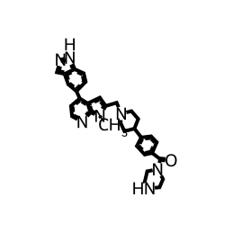 Cn1c(CN2CCC(c3ccc(C(=O)N4CCNCC4)cc3)CC2)cc2c(-c3ccc4[nH]ncc4c3)ccnc21